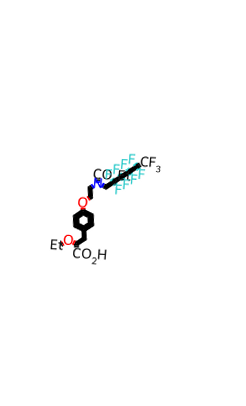 CCOC(=O)N(CCOc1ccc(CC(OCC)C(=O)O)cc1)CC(F)(F)C(F)(F)C(F)(F)C(F)(F)C(F)(F)F